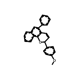 COc1ccc(C2C=Cc3c(-c4ccccc4)cc4ccccc4c3O2)cc1